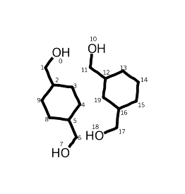 OCC1CCC(CO)CC1.OCC1CCCC(CO)C1